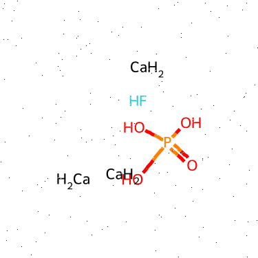 F.O=P(O)(O)O.[CaH2].[CaH2].[CaH2]